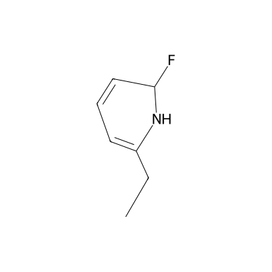 CCC1=CC=CC(F)N1